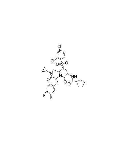 O=C(NC1CN(S(=O)(=O)c2ccc(Cl)cc2Cl)C2CN(C3CC3)C(=O)C(Cc3ccc(F)c(F)c3)N2C1=O)C1CCCC1